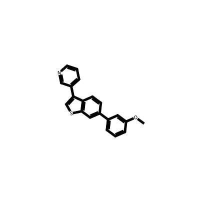 COc1cccc(-c2ccc3c(-c4cccnc4)csc3c2)c1